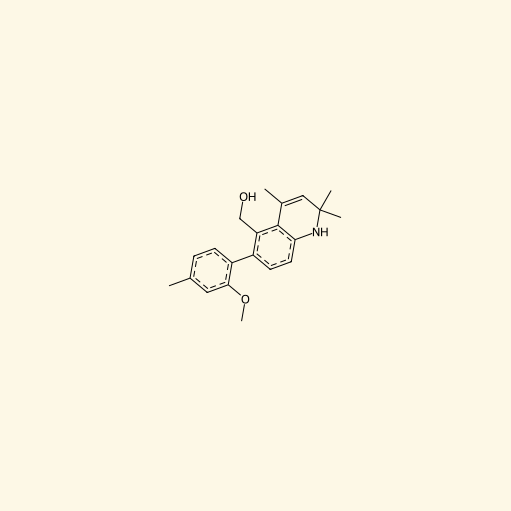 COc1cc(C)ccc1-c1ccc2c(c1CO)C(C)=CC(C)(C)N2